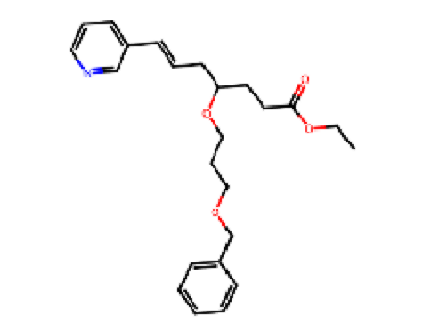 CCOC(=O)CCC(C/C=C/c1cccnc1)OCCCOCc1ccccc1